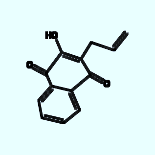 C=CCC1=C(O)C(=O)c2ccccc2C1=O